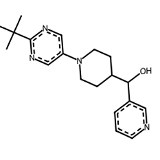 CC(C)(C)c1ncc(N2CCC(C(O)c3cccnc3)CC2)cn1